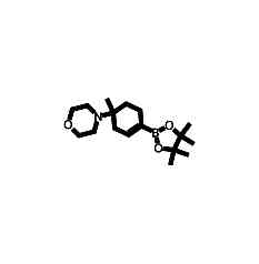 CC1(N2CCOCC2)CC=C(B2OC(C)(C)C(C)(C)O2)CC1